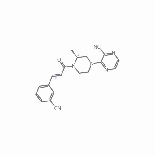 C[C@H]1CN(c2nccnc2C#N)CCN1C(=O)/C=C/c1cccc(C#N)c1